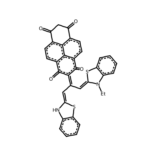 CCN1C(=CC(/C=C2/Nc3ccccc3S2)=c2c(=O)c3ccc4c5c(ccc(c2=O)c53)C(=O)CC4=O)Sc2ccccc21